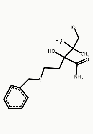 CC(C)(CO)C(O)(CCSCc1ccccc1)C(N)=O